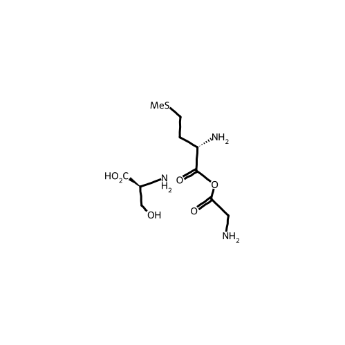 CSCC[C@H](N)C(=O)OC(=O)CN.N[C@@H](CO)C(=O)O